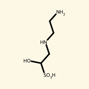 NCCNCC(O)S(=O)(=O)O